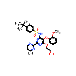 COc1ccccc1Oc1c(NS(=O)(=O)c2ccc(C(C)(C)C)cc2)nc(-c2ncccn2)nc1OCCO.[LiH]